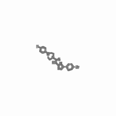 Fc1ccc(N2CCN(C(=S)Nc3nc(-c4ccc(Br)cc4)cs3)CC2)cc1